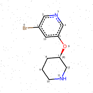 Brc1cncc(O[C@@H]2CCCNC2)c1